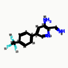 N=Cc1ncc(-c2ccc(C(F)(F)F)cc2)cc1N